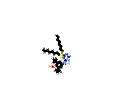 CCCCCCCC[SH](CCCCCCCC)c1ncnc(Nc2cc(C(C)(C)C)c(O)c(C(C)(C)C)c2)n1